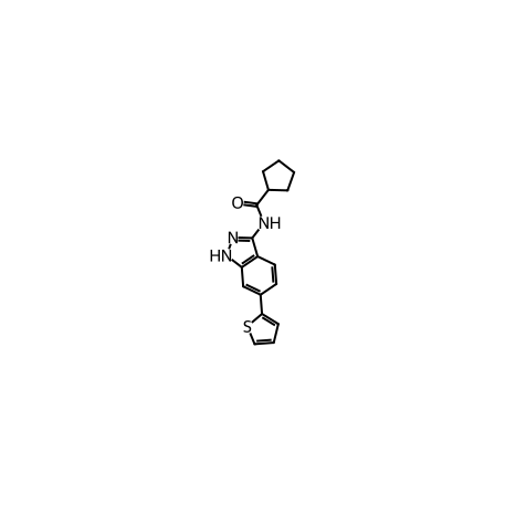 O=C(Nc1n[nH]c2cc(-c3cccs3)ccc12)C1CCCC1